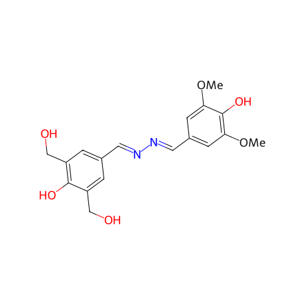 COc1cc(/C=N/N=C/c2cc(CO)c(O)c(CO)c2)cc(OC)c1O